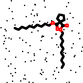 CCCCCCCCCCOC(=O)C1(C(=O)OCCCCCCCCCC)CCCC1